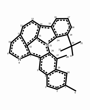 Cc1ccc2cc3c4nccc5ccc6c7cccc(C(C)(C)C)c7n(c3c(C)c2c1)c6c54